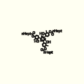 CCCCCCCC(=O)Oc1ccc(-c2nc(-c3ccc(OC(=O)CCCCCCC)c(C)c3O)nc(-c3ccc(OC(=O)CCCCCCC)c(C)c3O)n2)c(O)c1C